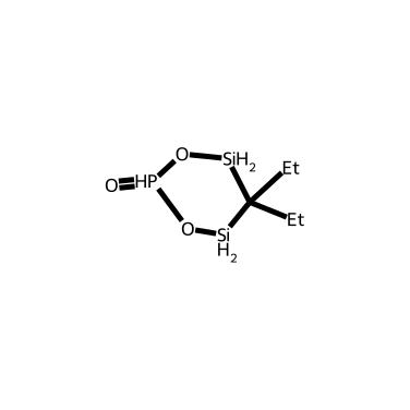 CCC1(CC)[SiH2]O[PH](=O)O[SiH2]1